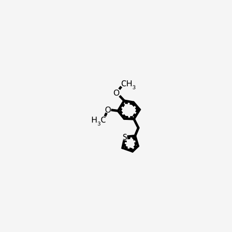 COc1ccc(Cc2cccs2)cc1OC